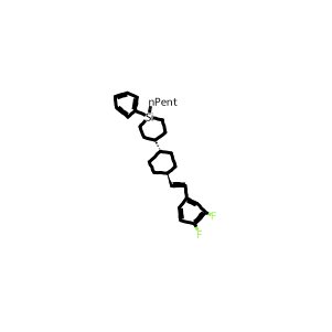 CCCCC[Si]1(c2ccccc2)CCC([C@H]2CC[C@H](/C=C/c3ccc(F)c(F)c3)CC2)CC1